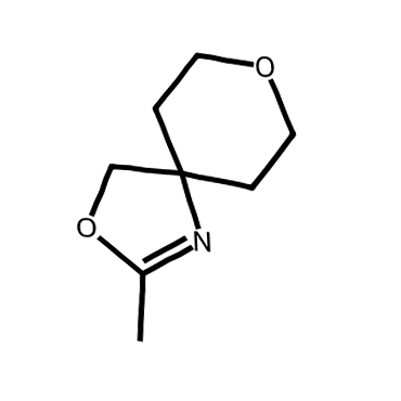 CC1=NC2(CCOCC2)CO1